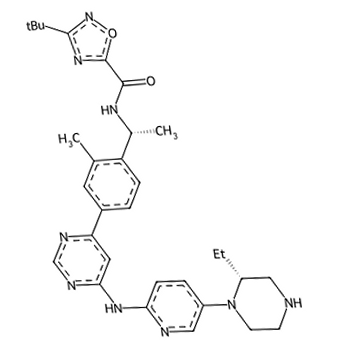 CC[C@@H]1CNCCN1c1ccc(Nc2cc(-c3ccc([C@@H](C)NC(=O)c4nc(C(C)(C)C)no4)c(C)c3)ncn2)nc1